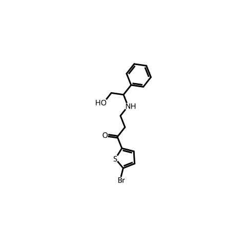 O=C(CCNC(CO)c1ccccc1)c1ccc(Br)s1